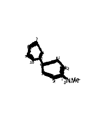 C[N]c1ccc(-c2ccccc2)cc1